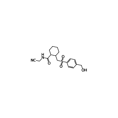 N#CCNC(=O)C1CCCCC1CS(=O)(=O)c1ccc(CO)cc1